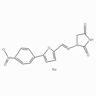 O=C1CN(N=Cc2ccc(-c3ccc([N+](=O)[O-])cc3)o2)C(=O)N1.[Na]